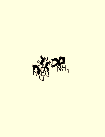 Cc1nc(N2CCC3(CCCC3N)CC2)c(CO)nc1Sc1ccnc(Cl)c1Cl